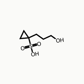 O=S(=O)(O)C1(CCCO)CC1